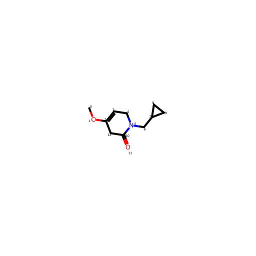 COC1=CCN(CC2CC2)C(=O)C1